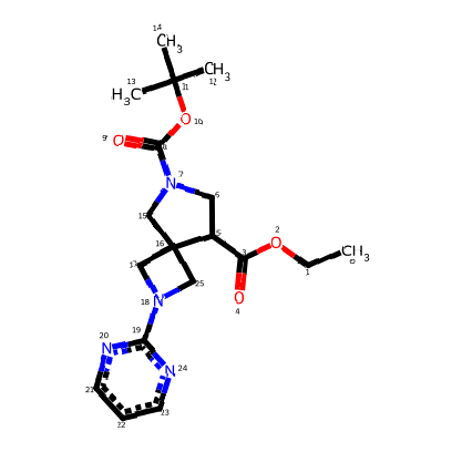 CCOC(=O)C1CN(C(=O)OC(C)(C)C)CC12CN(c1ncccn1)C2